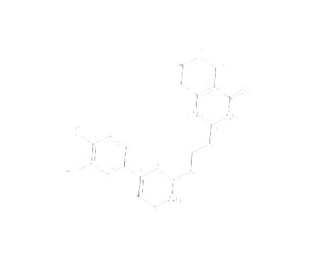 O=c1[nH]c(CCCC2CC(c3ccc(F)c(F)c3)=CCN2)nc2c1CSCC2